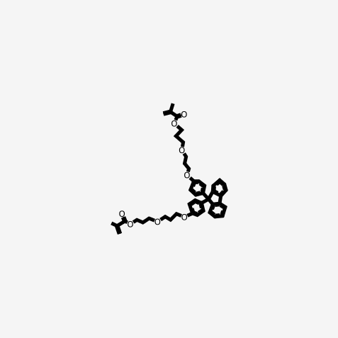 C=C(C)C(=O)OCCCOCCCOc1ccc(C2(c3ccc(OCCCOCCCOC(=O)C(=C)C)cc3)c3ccccc3-c3ccccc32)cc1